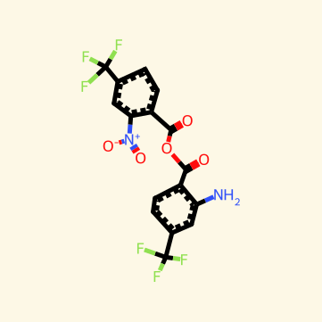 Nc1cc(C(F)(F)F)ccc1C(=O)OC(=O)c1ccc(C(F)(F)F)cc1[N+](=O)[O-]